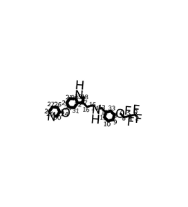 FC(F)C(F)(F)COc1cccc(CNCCc2c[nH]c3ccc(Oc4cccnc4)cc23)c1